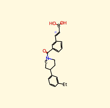 CCc1cccc(C2CCN(C(=O)c3cccc(/C=C/B(O)O)c3)CC2)c1